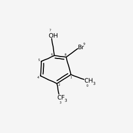 Cc1c(C(F)(F)F)ccc(O)c1Br